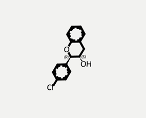 O[C@H]1Cc2ccccc2O[C@@H]1c1ccc(Cl)cc1